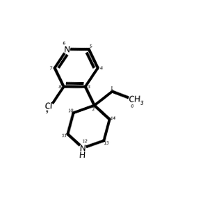 CCC1(c2ccncc2Cl)CCNCC1